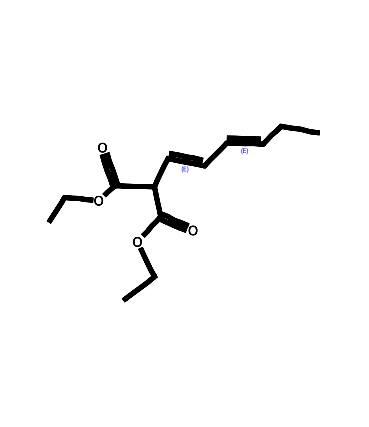 CC/C=C/C=C/C(C(=O)OCC)C(=O)OCC